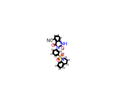 N#Cc1cccc2[nH]c(=O)n(-c3cccc(S(=O)(=O)N4CCCc5ccccc54)c3)c(=O)c12